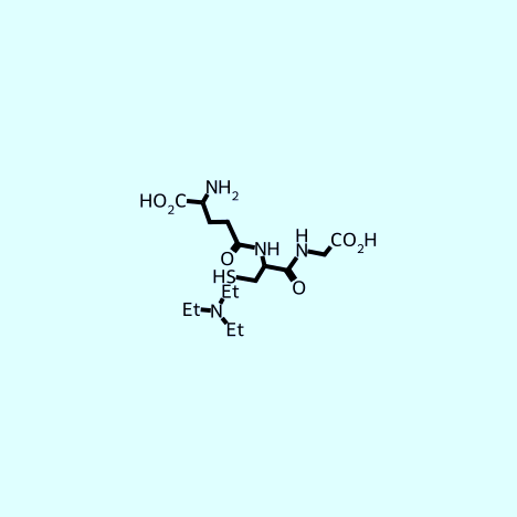 CCN(CC)CC.NC(CCC(=O)NC(CS)C(=O)NCC(=O)O)C(=O)O